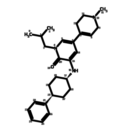 CC(C)Cn1cc(C2=CCN(C)CC2)cc(N[C@H]2CC[C@@H](c3ccccc3)CC2)c1=O